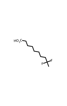 CC(F)(F)CCCCCCCC(=O)O